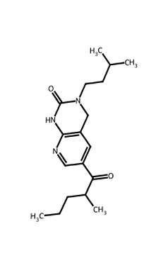 CCCC(C)C(=O)c1cnc2c(c1)CN(CCC(C)C)C(=O)N2